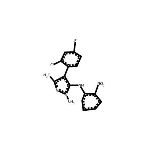 Cc1nn(C)c(Nc2ccccc2[N+](=O)[O-])c1-c1ccc(F)cc1Cl